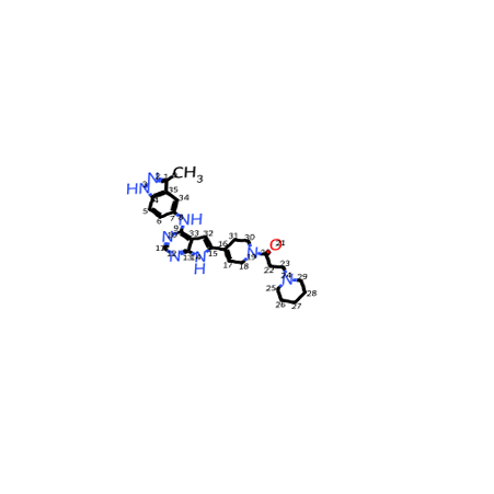 Cc1n[nH]c2ccc(Nc3ncnc4[nH]c(C5=CCN(C(=O)CCN6CCCCC6)CC5)cc34)cc12